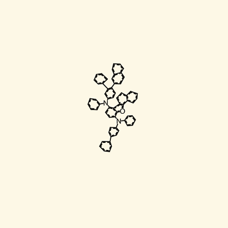 c1ccc(-c2ccc(N(c3ccccc3)c3ccc(N(c4ccccc4)c4ccc(-c5ccc6ccccc6c5)c(-c5ccccc5)c4)c4c3oc3c5ccccc5ccc34)cc2)cc1